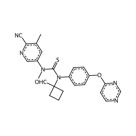 Cc1cc(N(C)C(=S)N(c2ccc(Oc3ccncn3)cc2)C2(C=O)CCC2)cnc1C#N